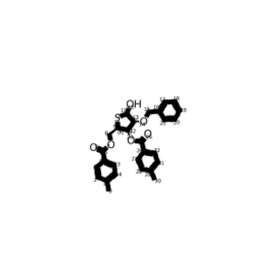 Cc1ccc(C(=O)OC[C@H]2SC(O)[C@H](OCc3ccccc3)[C@@H]2OC(=O)c2ccc(C)cc2)cc1